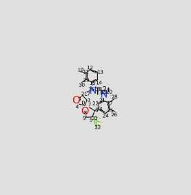 C1CCOC1.C1CCOC1.Cc1cccc([N](C)[Ti+2][N](C)c2cccc(C)c2C)c1C.[F-].[F-]